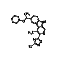 CCc1noc(-c2ncc3[nH]c4ccc(C(C)Oc5ccccc5)cc4c3c2C)n1